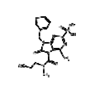 CCC[SH](=O)(O)c1nc(N)c2c(n1)n(Cc1ccccc1)c(=O)n2C(=O)N(C)CCOC(C)=O